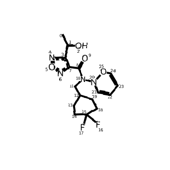 CC(O)c1nonc1C(=O)N(CC1CCC(F)(F)CC1)N1C=CC=CO1